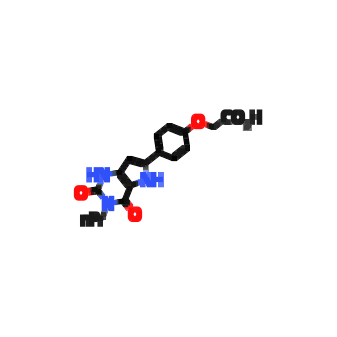 CCCn1c(=O)[nH]c2cc(-c3ccc(OCC(=O)O)cc3)[nH]c2c1=O